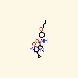 CCCCO[C@H]1CC[C@H](NC(=O)c2cn(C)c3c(C4CC4)cn(C)c(=O)c23)CC1